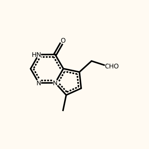 Cc1cc(CC=O)c2c(=O)[nH]cnn12